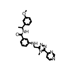 COc1cccc(C(C)NC(=O)c2cccc(NCc3nnc(-c4ccncn4)n3C)c2)c1